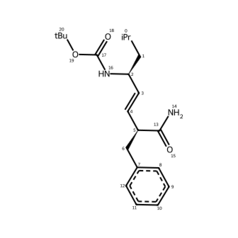 CC(C)C[C@@H](/C=C/[C@H](Cc1ccccc1)C(N)=O)NC(=O)OC(C)(C)C